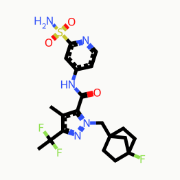 Cc1c(C(C)(F)F)nn(CC23CCC(F)(CC2)C3)c1C(=O)Nc1ccnc(S(N)(=O)=O)c1